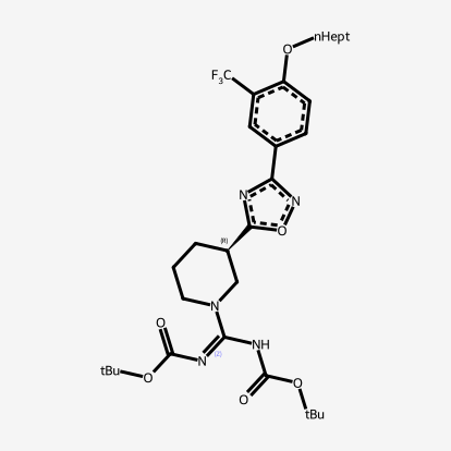 CCCCCCCOc1ccc(-c2noc([C@@H]3CCCN(/C(=N\C(=O)OC(C)(C)C)NC(=O)OC(C)(C)C)C3)n2)cc1C(F)(F)F